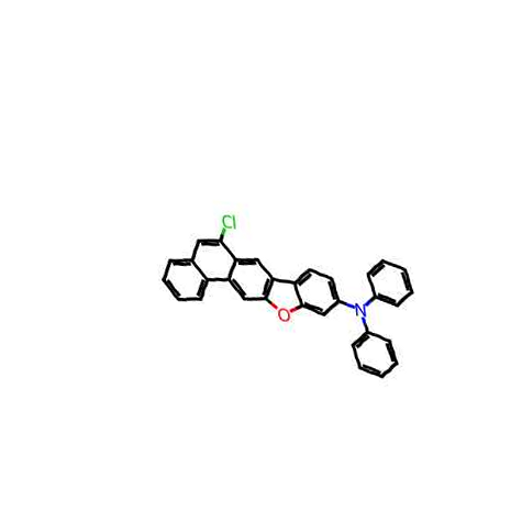 Clc1cc2ccccc2c2cc3oc4cc(N(c5ccccc5)c5ccccc5)ccc4c3cc12